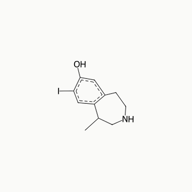 CC1CNCCc2cc(O)c(I)cc21